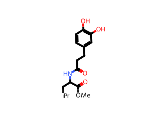 COC(=O)C(CC(C)C)NC(=O)CCc1ccc(O)c(O)c1